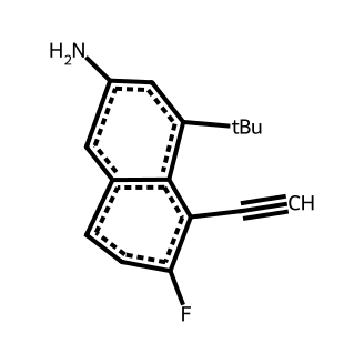 C#Cc1c(F)ccc2cc(N)cc(C(C)(C)C)c12